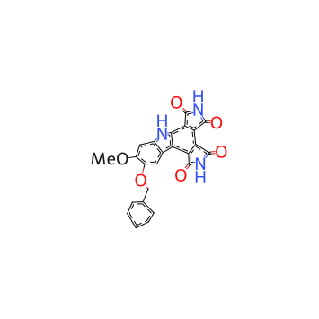 COc1cc2[nH]c3c4c(=O)[nH]c(=O)c4c4c(=O)[nH]c(=O)c4c3c2cc1OCc1ccccc1